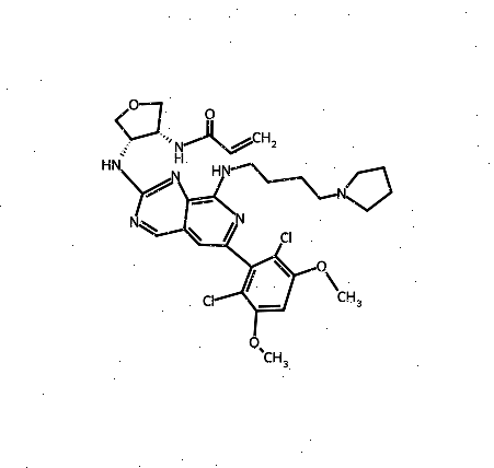 C=CC(=O)N[C@H]1COC[C@H]1Nc1ncc2cc(-c3c(Cl)c(OC)cc(OC)c3Cl)nc(NCCCCN3CCCC3)c2n1